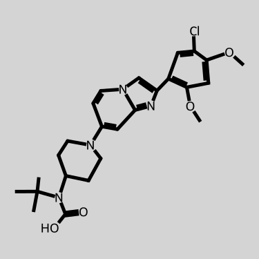 COc1cc(OC)c(-c2cn3ccc(N4CCC(N(C(=O)O)C(C)(C)C)CC4)cc3n2)cc1Cl